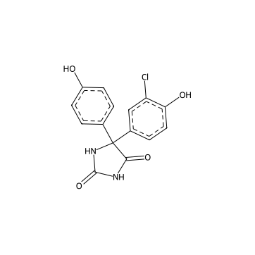 O=C1NC(=O)C(c2ccc(O)cc2)(c2ccc(O)c(Cl)c2)N1